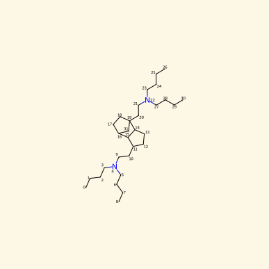 CCCCN(CCCC)CCC1CCC2C1C1CCC2(CCN(CCCC)CCCC)C1